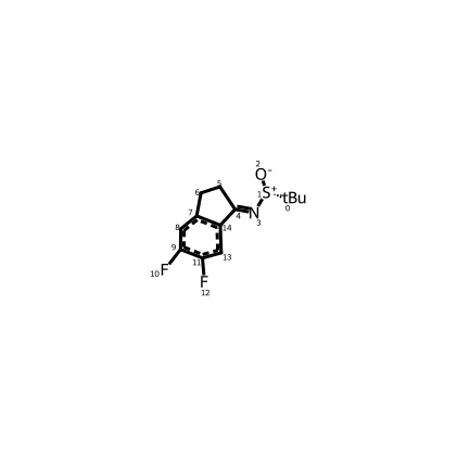 CC(C)(C)[S@@+]([O-])N=C1CCc2cc(F)c(F)cc21